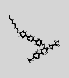 CCCCCCCOc1ccc(-c2cnc(-c3ccc(C[C@H](NC(=O)c4ccc(C5CC5)cc4)C(=O)N4CC(C(=O)O)C4)cc3)nc2)cc1